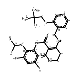 COC(C)(C)COc1cnccc1CNC1=C(C(=S)Nc2cc(F)cc(F)c2OC(F)F)C(=O)NCC1